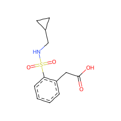 O=C(O)Cc1ccccc1S(=O)(=O)NCC1CC1